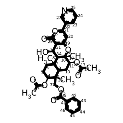 CC(=O)O[C@H]1CC[C@@]2(C)C(C[C@H](OC(C)=O)[C@@]3(C)Oc4cc(-c5cccnc5)oc(=O)c4[C@H](O)C23)[C@]1(C)COC(=O)c1ccccc1